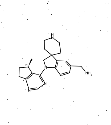 C[C@@H]1CCc2ncnc(N3CC4(CCNCC4)c4cc(CN)ccc43)c21